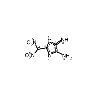 N=c1oc(C([N+](=O)[O-])[N+](=O)[O-])nn1N